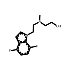 CN(CCO)CCn1ccc2c(F)ccc(F)c21